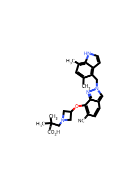 Cc1cc(C)c2[nH]ccc2c1Cn1cc2ccc(C#N)c(OC3CN(CC(C)(C)C(=O)O)C3)c2n1